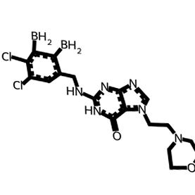 Bc1c(CNc2nc3ncn(CCN4CCOCC4)c3c(=O)[nH]2)cc(Cl)c(Cl)c1B